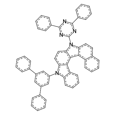 c1ccc(-c2cc(-c3ccccc3)cc(-n3c4ccccc4c4c5c6c7ccccc7ccc6n(-c6nc(-c7ccccc7)nc(-c7ccccc7)n6)c5ccc43)c2)cc1